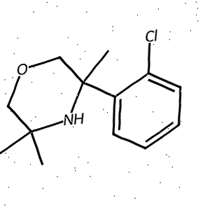 CC1(C)COCC(C)(c2ccccc2Cl)N1